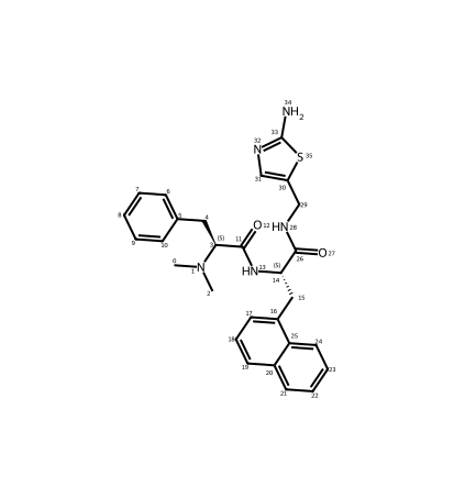 CN(C)[C@@H](Cc1ccccc1)C(=O)N[C@@H](Cc1cccc2ccccc12)C(=O)NCc1cnc(N)s1